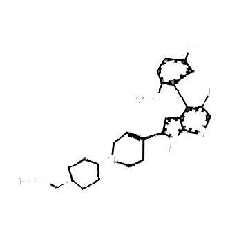 COc1ccc(F)cc1-c1c(F)cnc2[nH]c(C3=CCN([C@H]4CC[C@H](CC(=O)O)CC4)CC3)cc12